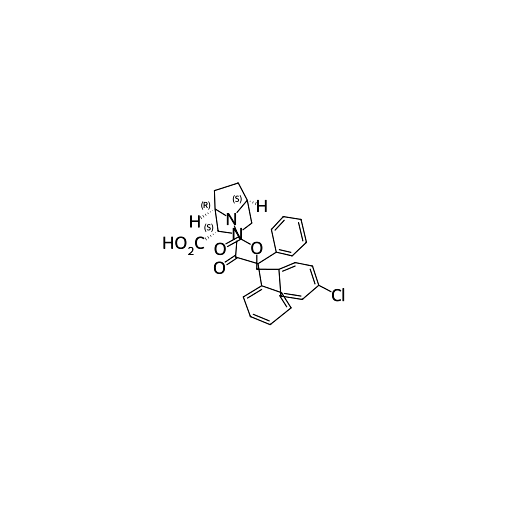 O=C(O)[C@@H]1[C@H]2CC[C@@H](CN1C(=O)C(c1ccccc1)c1ccccc1)N2C(=O)OCc1ccc(Cl)cc1